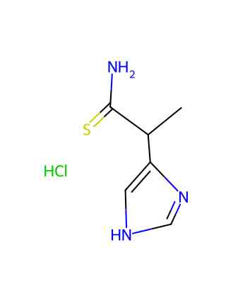 CC(C(N)=S)c1c[nH]cn1.Cl